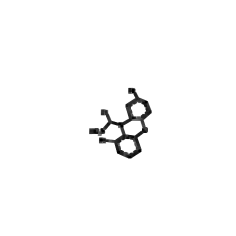 CCc1ccc2c(c1)N(C(CC)S(=O)(=O)O)c1c(CC)cccc1O2